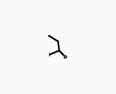 CCC([O])I